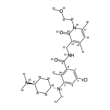 CCN(c1cc(Cl)cc(C(=O)NCc2c(C)cc(C)n(CCOC)c2=O)c1C)[C@H]1CC[C@H](N(C)C)CC1